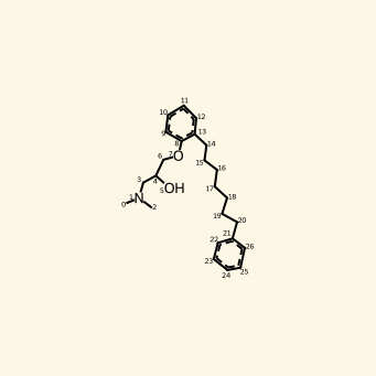 CN(C)CC(O)COc1ccccc1CCCCCCCc1ccccc1